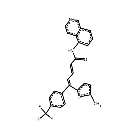 Cc1ccc(C(=CC=CC(=O)Nc2cccc3cnccc23)c2ccc(C(F)(F)F)cc2)o1